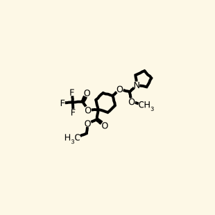 CCOC(=O)C1(OC(=O)C(F)(F)F)CCC(OC(OC)N2CCCC2)CC1